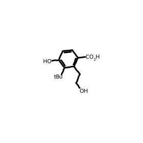 CC(C)(C)c1c(O)ccc(C(=O)O)c1CCO